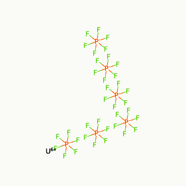 F[P-](F)(F)(F)(F)F.F[P-](F)(F)(F)(F)F.F[P-](F)(F)(F)(F)F.F[P-](F)(F)(F)(F)F.F[P-](F)(F)(F)(F)F.F[P-](F)(F)(F)(F)F.[U+6]